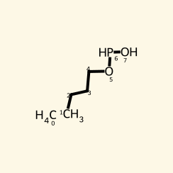 C.CCCCOPO